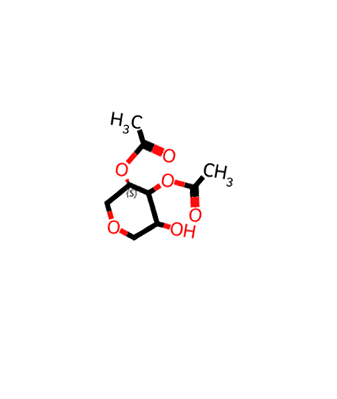 CC(=O)OC1C(O)COC[C@@H]1OC(C)=O